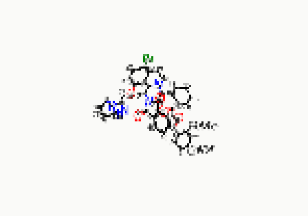 COc1ccc(COC(=O)[C@H]2CCCC[C@H]2C(=O)N2CCc3c(Br)ccc(OCc4nnc5ccccn45)c3C2CN2Cc3ccccc3C2=O)c(OC)c1